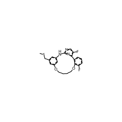 CSCc1cc2cc(c1)OCCCCOc1c(F)cccc1-c1nc(ncc1F)N2